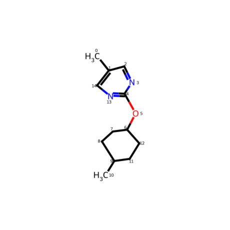 Cc1cnc(OC2CCC(C)CC2)nc1